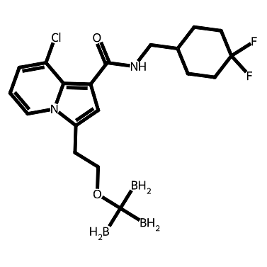 BC(B)(B)OCCc1cc(C(=O)NCC2CCC(F)(F)CC2)c2c(Cl)cccn12